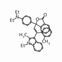 CCN(CC)c1ccc(C2(/C=C(\c3ccccc3C)c3c(C)n(CC)c4ccccc34)OC(=O)c3ccccc32)cc1